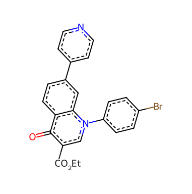 CCOC(=O)c1cn(-c2ccc(Br)cc2)c2cc(-c3ccncc3)ccc2c1=O